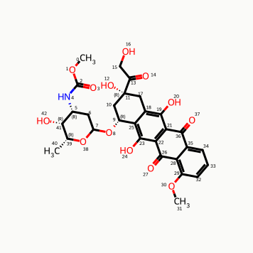 COC(=O)N[C@@H]1CC(O[C@@H]2C[C@@](O)(C(=O)CO)Cc3c(O)c4c(c(O)c32)C(=O)c2c(OC)cccc2C4=O)O[C@H](C)[C@@H]1O